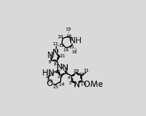 COc1ncc(-c2nn(-c3cnn(C[C@H]4C[C@@H](C)N[C@@H](C)C4)c3)c3c2CCOCN3)cc1C